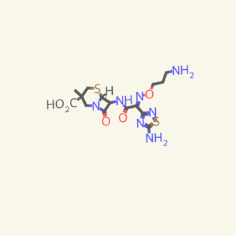 CC1(C(=O)O)CS[C@@H]2C(NC(=O)C(=NOCCCN)c3nsc(N)n3)C(=O)N2C1